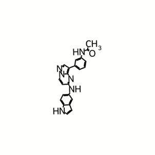 CC(=O)Nc1cccc(-c2cnn3ccc(Nc4ccc5[nH]ccc5c4)nc23)c1